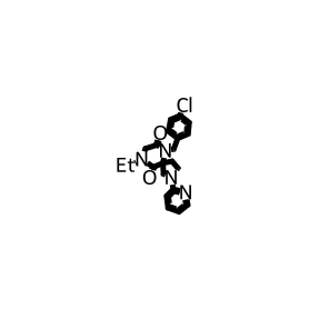 CCN1CC(=O)N(Cc2ccc(Cl)cc2)C2(CCN(c3ccccn3)C2)C1=O